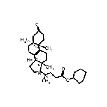 C[C@H](CCC(=O)OC1CCCCC1)[C@H]1CC[C@H]2C3=C(CC[C@]12C)[C@@]1(C)CCC(=O)C[C@]1(C)CC3